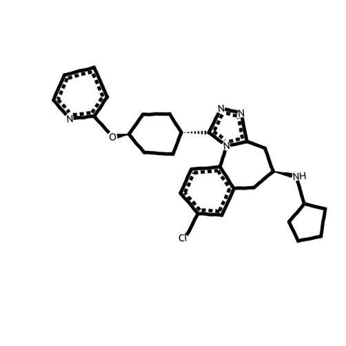 Clc1ccc2c(c1)C[C@H](NC1CCCC1)Cc1nnc([C@H]3CC[C@H](Oc4ccccn4)CC3)n1-2